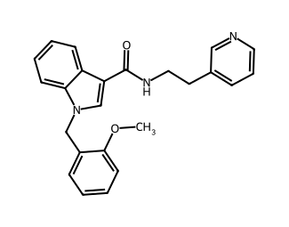 COc1ccccc1Cn1cc(C(=O)NCCc2cccnc2)c2ccccc21